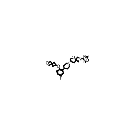 Fc1ccc(OC2CC3(COC3)C2)c(C2CCN([C@@H]3COC4(C3)CN(c3ncon3)C4)CC2)c1